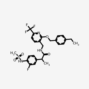 CCc1ccc(COc2nc(C(F)(F)F)ccc2CNC(=O)C(C)c2ccc(NS(C)(=O)=O)c(F)c2)cc1